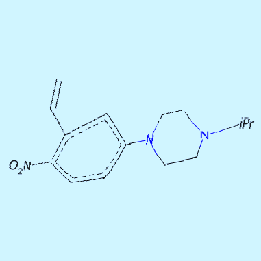 C=Cc1cc(N2CCN(C(C)C)CC2)ccc1[N+](=O)[O-]